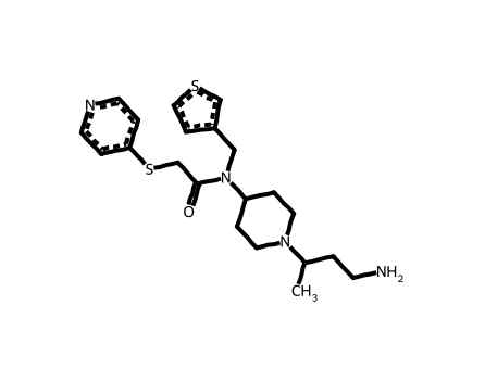 CC(CCN)N1CCC(N(Cc2ccsc2)C(=O)CSc2ccncc2)CC1